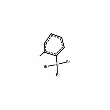 Cc1ccccc1[Si](Br)(Br)Br